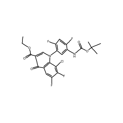 CCOC(=O)c1cn(-c2cc(NC(=O)OC(C)(C)C)c(F)cc2F)c2c(Cl)c(F)c(F)cc2c1=O